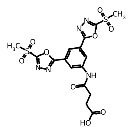 CS(=O)(=O)c1nnc(-c2cc(NC(=O)CCC(=O)O)cc(-c3nnc(S(C)(=O)=O)o3)c2)o1